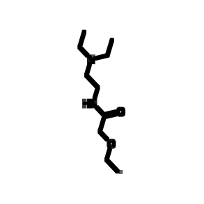 [CH2]COCC(=O)NCCN(CC)CC